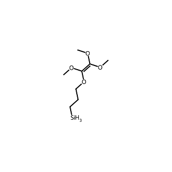 COC(OC)=C(OC)OCCC[SiH3]